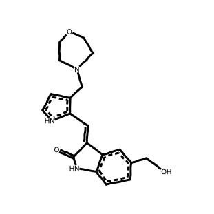 O=C1Nc2ccc(CO)cc2C1=Cc1[nH]ccc1CN1CCOCC1